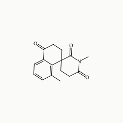 Cc1cccc2c1C1(CCC2=O)CCC(=O)N(C)C1=O